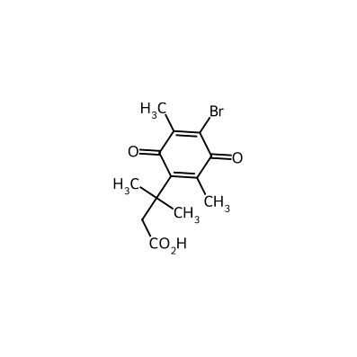 CC1=C(Br)C(=O)C(C)=C(C(C)(C)CC(=O)O)C1=O